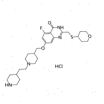 Cl.O=c1[nH]c(CSC2CCOCC2)nc2cc(OCC3CCN(CCC4CCNCC4)CC3)cc(F)c12